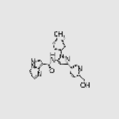 Cc1ccc(-n2nc(-c3ccc(CO)nc3)cc2NC(=O)c2cnn3cccnc23)cc1